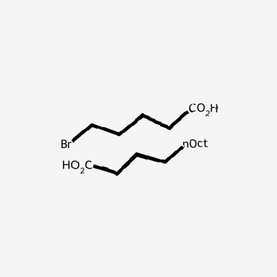 CCCCCCCCCCCC(=O)O.O=C(O)CCCCBr